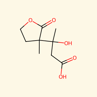 CC(O)(CC(=O)O)C1(C)CCOC1=O